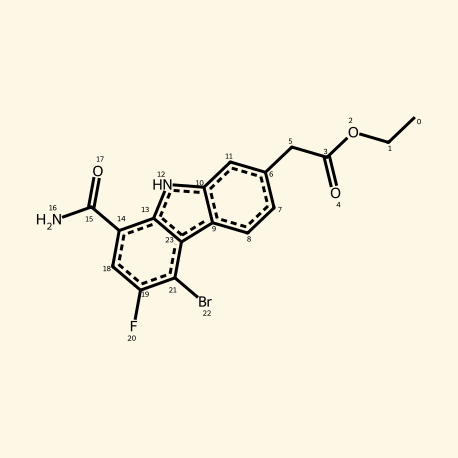 CCOC(=O)Cc1ccc2c(c1)[nH]c1c(C(N)=O)cc(F)c(Br)c12